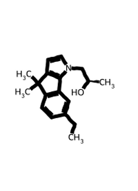 CCc1ccc2c(c1)-c1c(ccn1C[C@@H](C)O)C2(C)C